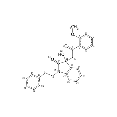 COc1ccccc1C(=O)CC1(O)C(=O)N(CCc2ccccc2)c2ccccc21